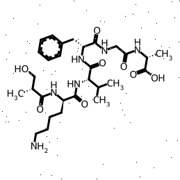 CC(C)[C@H](NC(=O)[C@@H](CCCCN)NC(=O)[C@H](C)CO)C(=O)N[C@H](Cc1ccccc1)C(=O)NCC(=O)N[C@H](C)C(=O)O